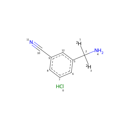 Cl.[2H]C([2H])(N)c1cccc(C#N)c1